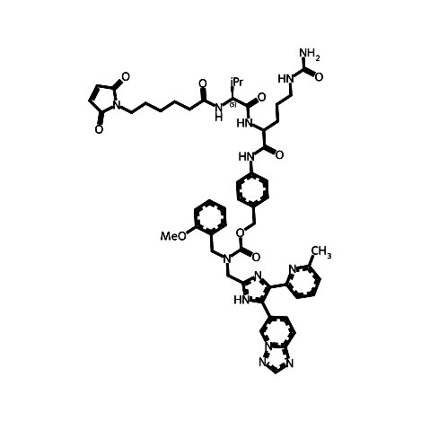 COc1ccccc1CN(Cc1nc(-c2cccc(C)n2)c(-c2ccc3ncnn3c2)[nH]1)C(=O)OCc1ccc(NC(=O)C(CCCNC(N)=O)NC(=O)[C@@H](NC(=O)CCCCCN2C(=O)C=CC2=O)C(C)C)cc1